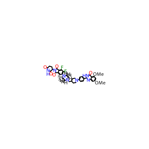 [2H]C1([2H])N(CC2CCN(c3ccc(-c4nc5cc(OC)cc(OC)c5c(=O)[nH]4)cc3)CC2)C([2H])([2H])C([2H])([2H])N(c2cc3c(c(F)c2F)C(=O)N(C2CCC(=O)NC2=O)C3=O)C1([2H])[2H]